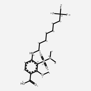 COc1c(C(=O)O)ccc(NCCCCCCCC(F)(F)F)c1S(=O)(=O)N(C)C